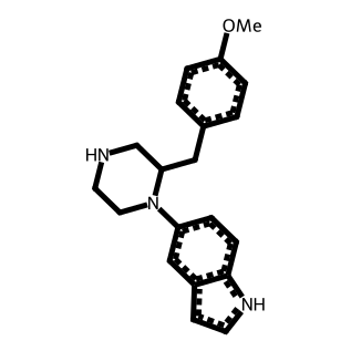 COc1ccc(CC2CNCCN2c2ccc3[nH]ccc3c2)cc1